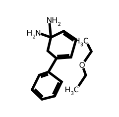 CCOCC.NC1(N)C=CC=C(c2ccccc2)C1